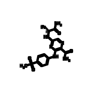 CC(C)[C@@H](Nc1cnc(C(N)=O)c(Nc2ccc(S(C)(=O)=O)cc2)n1)C(N)=O